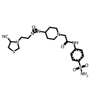 N#CC1CSCN1CCn1on1C1CCN(CC(=O)Nc2ccc(S(N)(=O)=O)cc2)CC1